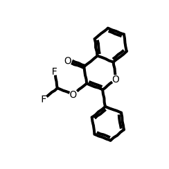 O=c1c(OC(F)F)c(-c2ccccc2)oc2ccccc12